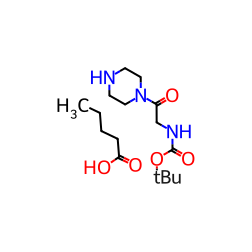 CC(C)(C)OC(=O)NCC(=O)N1CCNCC1.CCCCC(=O)O